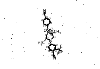 C[C@H]1CN(S(=O)(=O)c2ccc(C#N)cc2)[C@@H](C)CN1c1ccc(C#N)c(C(F)(F)F)c1